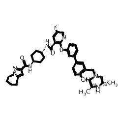 C[C@@H]1CN(Cc2cc(-c3cccc(Oc4ncc(F)cc4C(=O)N[C@H]4CC[C@H](NC(=O)c5cc6n(n5)CCCC6)CC4)c3)ccc2O)C[C@H](C)N1